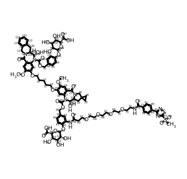 COc1cc2c(cc1OCCCCCOc1cc3c(cc1OC)C(=O)N1CC4(CC4)C[C@H]1[C@H](O)N3C(=O)OCc1ccc(O[C@@H]3O[C@H](C(=O)O)[C@@H](O)[C@H](O)[C@H]3O)c(NC(=O)CCOCCOCCOCCOCCNC(=O)c3ccc(-c4nsc(S(C)(=O)=O)n4)cc3)c1)N(C(=O)OCc1ccc(O[C@@H]3O[C@H](C(=O)O)[C@@H](O)[C@H](O)[C@H]3O)cc1)[C@@H](O)[C@@H]1Cc3ccccc3CN1C2=O